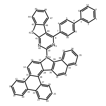 c1ccc(-c2ccc(-c3nc(-n4c5ccc6c7ccccc7c7ccccc7c6c5c5ccc6ccccc6c54)nc4sc5ccccc5c34)cc2)cc1